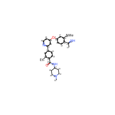 CCc1cc(-c2cc(Oc3ccc(C(C)=N)c(NC)c3)ccn2)ccc1C(=O)NC1CCN(C)CC1